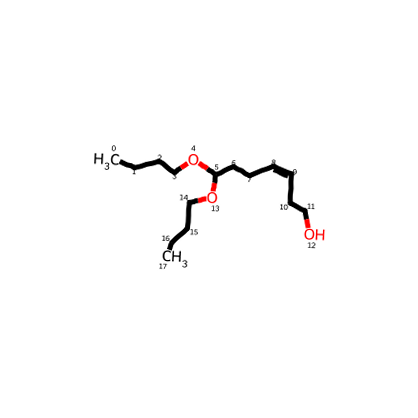 CCCCOC(CC/C=C\CCO)OCCCC